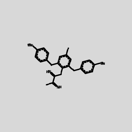 CC(=N)C(=N)Cc1c(Cc2ccc(C(C)(C)C)cc2)cc(C)cc1Cc1ccc(C(C)(C)C)cc1